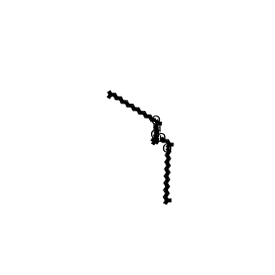 CC(C)CCCCCCCCCCCCCCOC(C)CCO[SiH](OCCC(C)OCCCCCCCCCCCCCCC(C)C)C(C)(C)C